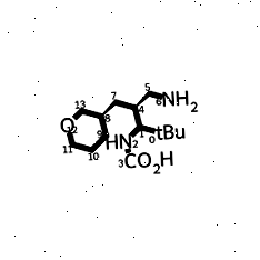 CC(C)(C)C(NC(=O)O)[C@H](CN)C[C@H]1CCCOC1